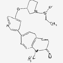 CC[S+]([O-])N1CCC(Oc2cncc(-c3ccc4c(c3)CCC(=O)N4C)c2)C1